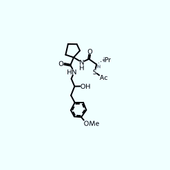 COc1ccc(CC(O)CNC(=O)C2(NC(=O)[C@@H](SC(C)=O)C(C)C)CCCC2)cc1